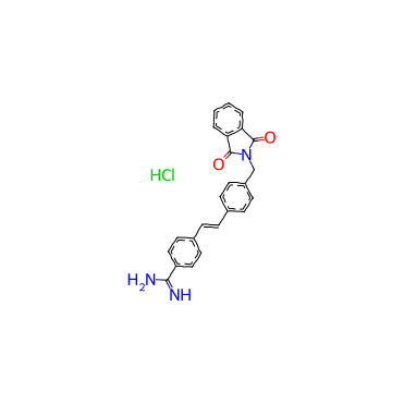 Cl.N=C(N)c1ccc(C=Cc2ccc(CN3C(=O)c4ccccc4C3=O)cc2)cc1